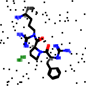 Cl.Cl.N=C(N)N[C@H](Cc1ccccc1)C(=O)N1CCC[C@H]1C(=O)N(CCC[C@H](N)C=O)C(=N)N